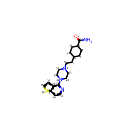 NC(=O)C1CCC(CCN2CCN(c3nccc4sccc34)CC2)CC1